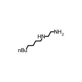 CCCCCCCCNCCN